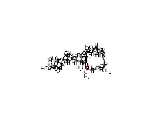 C=C1C[C@@H]2CC[C@@]34C[C@@H]5O[C@H]6[C@@H](O3)[C@H]3O[C@H](CC[C@@H]3O[C@H]6C5O4)CC(=O)O[C@@H]3[C@@H](C)[C@@H]4O[C@@H]5C[C@]6(C[C@@H]7O[C@]8(C[C@H](C)[C@@H]9O[C@@H]%10[C@@H]([C@@H](O)CO)CO[C@@H]%10C[C@@H]9O8)C[C@H](C)[C@@H]7O6)O[C@@H]5C[C@@H]4O[C@H]3C[C@H]3O[C@@H](CC[C@@H]1O2)C[C@@H](C)C3=C